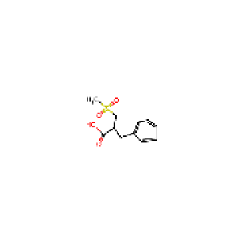 CS(=O)(=O)CC(Cc1ccccc1)C(=O)O